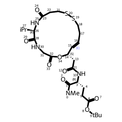 CNC(=O)[C@@H](CCC(=O)OC(C)(C)C)NC(=O)C[C@H]1/C=C/CCSSCCC(=O)N[C@H](C(C)C)C(=O)NCC(=O)O1